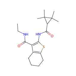 CCNC(=O)c1c(NC(=O)C2C(C)(C)C2(C)C)sc2c1CCCC2